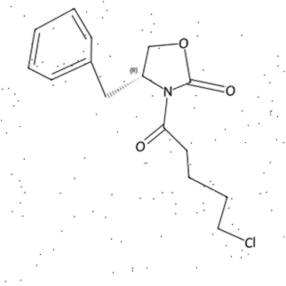 O=C(CCCCCl)N1C(=O)OC[C@H]1Cc1ccccc1